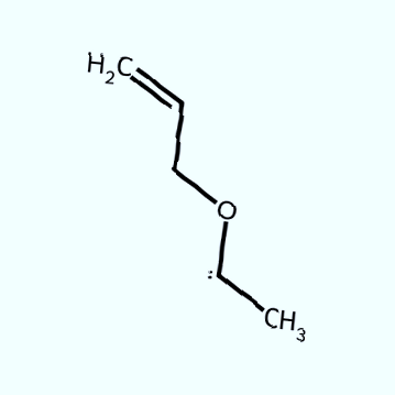 C=CCO[C]C